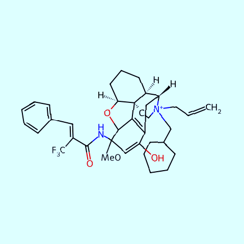 C=CC[N+]1(CC2CCCCC2)CC[C@@]23C4=C5C[C@@H]1[C@@H]2CCC[C@@H]3OC4C(NC(=O)C(=Cc1ccccc1)C(F)(F)F)(OC)C=C5O